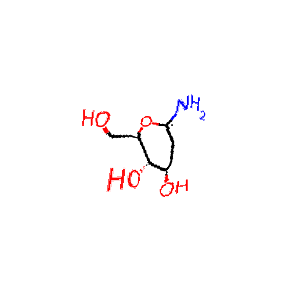 N[C]1C[C@@H](O)[C@H](O)[C@@H](CO)O1